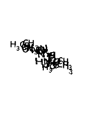 CC(C)(C)OC(=O)NC1CCCCC1NC(=O)c1cc(-c2cnn3cc(N4CCN(C(=O)OC(C)(C)C)CC4)cnc23)cs1